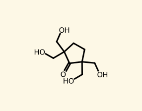 O=C1C(CO)(CO)CCC1(CO)CO